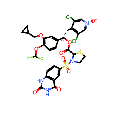 O=C(O[C@@H](Cc1c(Cl)c[n+]([O-])cc1Cl)c1ccc(OC(F)F)c(OCC2CC2)c1)C1SCCN1S(=O)(=O)c1ccc2[nH]c(=O)[nH]c(=O)c2c1